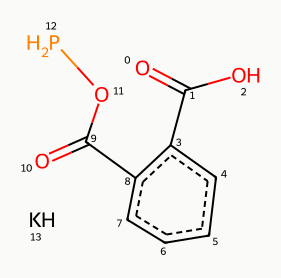 O=C(O)c1ccccc1C(=O)OP.[KH]